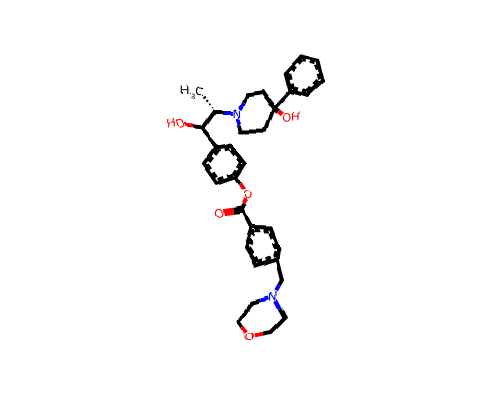 C[C@@H](C(O)c1ccc(OC(=O)c2ccc(CN3CCOCC3)cc2)cc1)N1CCC(O)(c2ccccc2)CC1